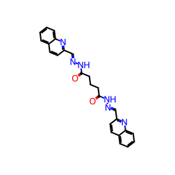 O=C(CCCC(=O)N/N=C/c1ccc2ccccc2n1)N/N=C/c1ccc2ccccc2n1